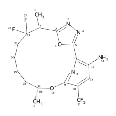 CC1c2nnc(o2)-c2nc(c(C(F)(F)F)cc2N)O[C@H](C)CCCCC1(F)F